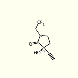 C#C[C@@]1(O)CCN(CC(F)(F)F)C1=O